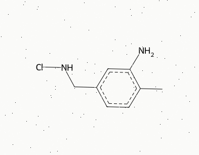 Cc1ccc(CNCl)cc1N